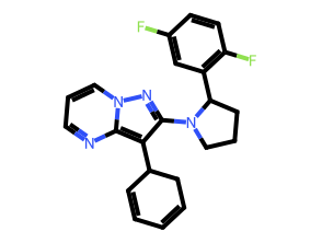 Fc1ccc(F)c(C2CCCN2c2nn3cccnc3c2C2C=CC=CC2)c1